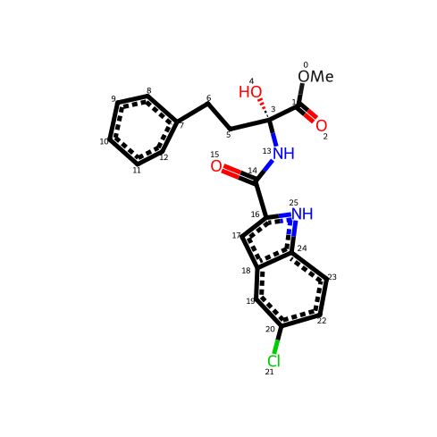 COC(=O)[C@](O)(CCc1ccccc1)NC(=O)c1cc2cc(Cl)ccc2[nH]1